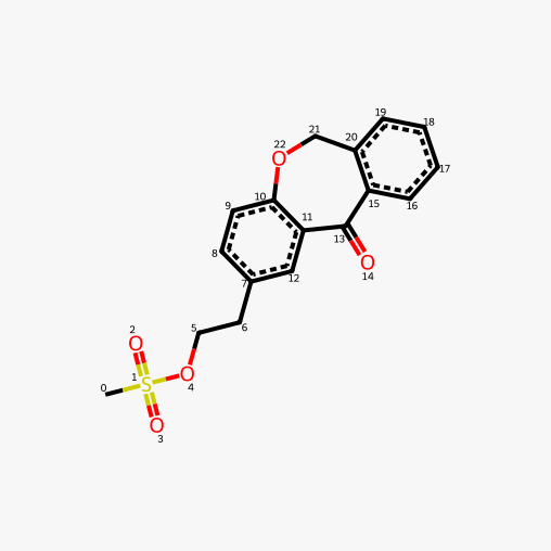 CS(=O)(=O)OCCc1ccc2c(c1)C(=O)c1ccccc1CO2